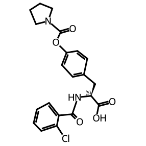 O=C(N[C@@H](Cc1ccc(OC(=O)N2CCCC2)cc1)C(=O)O)c1ccccc1Cl